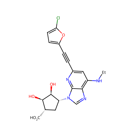 CCNc1cc(C#Cc2ccc(Cl)o2)nc2c1ncn2[C@@H]1C[C@H](C(=O)O)[C@@H](O)[C@H]1O